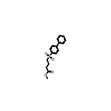 COC(=O)CCCS(=O)(=O)c1ccc(-c2ccccc2)cc1